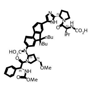 CCCCC1(CCCC)c2cc(-c3cnc([C@@H]4CCCN4C(=O)[C@@H](NC(=O)O)C(C)C)[nH]3)ccc2-c2ccc(N(C(=O)O)[C@H]3C[C@H](COC)CN3C(=O)[C@H](NC(=O)OC)c3ccccc3)cc21